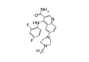 CN1CCN(c2ccc3ncc(C(N)=O)c(Nc4ccc(F)cc4F)c3c2)CC1